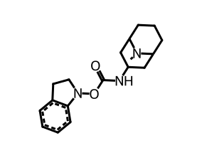 CN1C2CCCC1CC(NC(=O)ON1CCc3ccccc31)C2